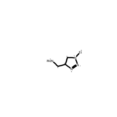 CCN1CC(CNC)N=N1